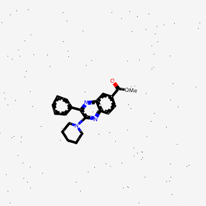 COC(=O)c1ccc2nc(N3CCCCC3)c(-c3ccccc3)nc2c1